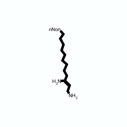 CCCCCCCCCCCCCCCCCCC(N)=CCN